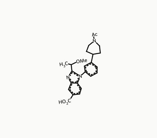 COC(C)c1nc2cc(C(=O)O)ccc2n1-c1cccc(C2CCN(C(C)=O)CC2)c1